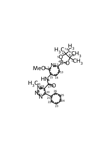 COc1nc(B2OC(C)(C)C(C)(C)O2)ccc1NC(=O)c1c(-c2ccccc2)nnn1C